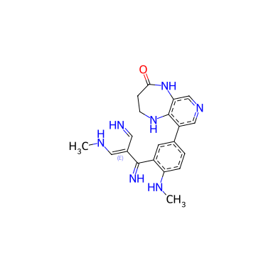 CN/C=C(\C=N)C(=N)c1cc(-c2cncc3c2NCCC(=O)N3)ccc1NC